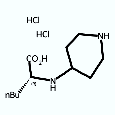 CCCC[C@@H](NC1CCNCC1)C(=O)O.Cl.Cl